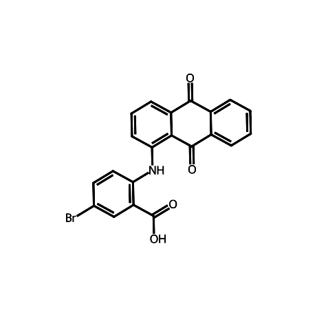 O=C(O)c1cc(Br)ccc1Nc1cccc2c1C(=O)c1ccccc1C2=O